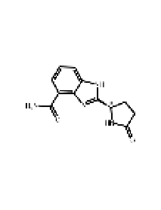 NC(=O)c1cccc2[nH]c([C@H]3CCC(=O)N3)nc12